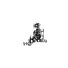 Cc1cc(O)cc(C)c1C[C@H](NC(=O)OC(C)(C)C)C(=O)N[C@H](C)C(=O)NCCc1cccs1